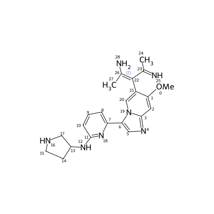 COc1cc2ncc(-c3cccc(NC4CCNC4)n3)n2cc1/C(C(C)=N)=C(\C)N